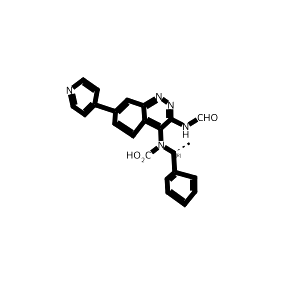 C[C@H](c1ccccc1)N(C(=O)O)c1c(NC=O)nnc2cc(-c3ccncc3)ccc12